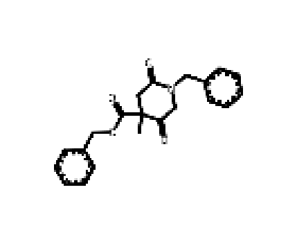 CC1(C(=O)OCc2ccccc2)CC(=O)N(Cc2ccccc2)CC1=O